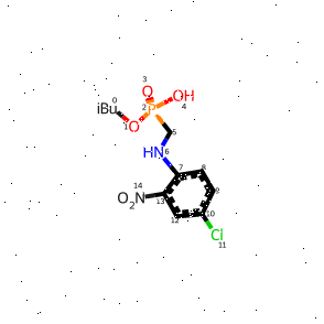 CCC(C)OP(=O)(O)CNc1ccc(Cl)cc1[N+](=O)[O-]